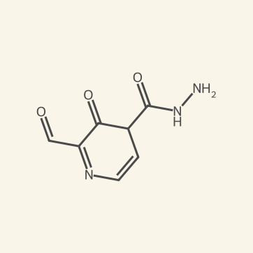 NNC(=O)C1C=CN=C(C=O)C1=O